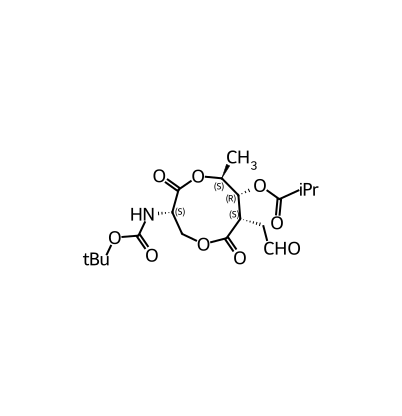 CC(C)C(=O)O[C@H]1[C@H](C)OC(=O)[C@@H](NC(=O)OC(C)(C)C)COC(=O)[C@H]1CC=O